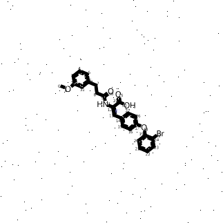 COc1cccc(CCC(=O)N/C(=C/c2ccc(Oc3ccccc3Br)cc2)C(=O)O)c1